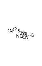 N#CC(C#N)=C1N(CCCc2ccccc2)CCN1CCSCc1cccc(CN2CCCCC2)c1